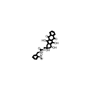 O=C(NCc1ccccc1[N+](=O)[O-])OCC1(O)Cc2c(O)c3c(c(O)c2[C@@H](O)C1)C(=O)c1ccccc1C3=O